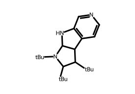 CC(C)(C)C1C2c3ccncc3NC2N(C(C)(C)C)C1C(C)(C)C